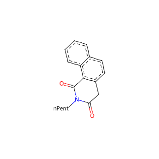 CCCCCN1C(=O)Cc2ccc3ccccc3c2C1=O